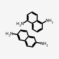 Nc1ccc2cc(N)ccc2c1.Nc1cccc2c(N)cccc12